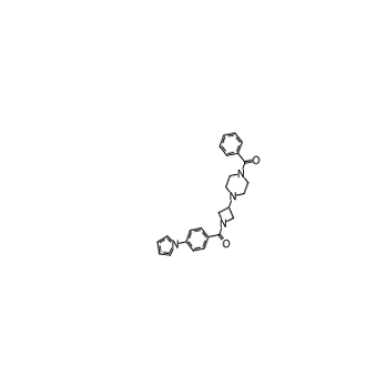 O=C(c1ccccc1)N1CCN(C2CN(C(=O)c3ccc(-n4cccc4)cc3)C2)CC1